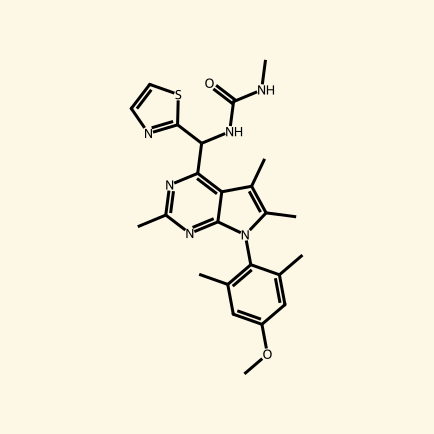 CNC(=O)NC(c1nccs1)c1nc(C)nc2c1c(C)c(C)n2-c1c(C)cc(OC)cc1C